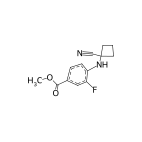 COC(=O)c1ccc(NC2(C#N)CCC2)c(F)c1